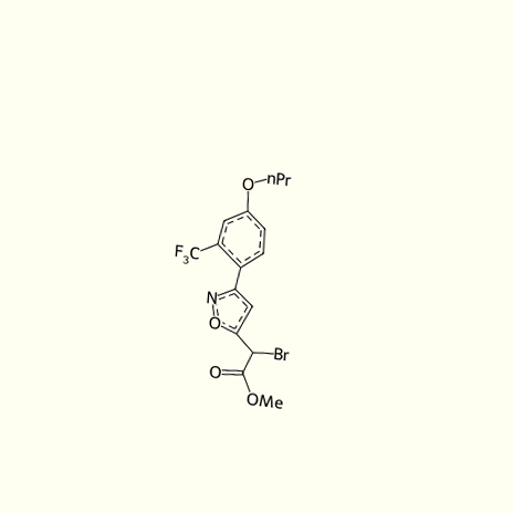 CCCOc1ccc(-c2cc(C(Br)C(=O)OC)on2)c(C(F)(F)F)c1